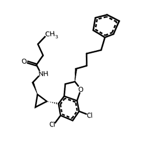 CCCC(=O)NC[C@@H]1C[C@H]1c1c(Cl)cc(Cl)c2c1C[C@@H](CCCCc1ccccc1)O2